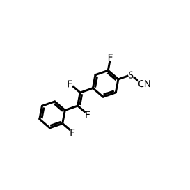 N#CSc1ccc(/C(F)=C(\F)c2ccccc2F)cc1F